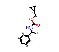 CC(NC(=O)OCC1CC1)c1ccccc1